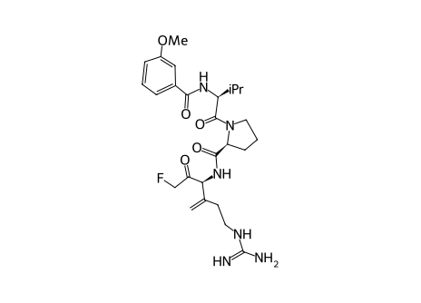 C=C(CCNC(=N)N)[C@H](NC(=O)[C@@H]1CCCN1C(=O)[C@@H](NC(=O)c1cccc(OC)c1)C(C)C)C(=O)CF